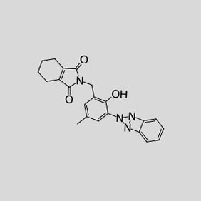 Cc1cc(CN2C(=O)C3=C(CCCC3)C2=O)c(O)c(-n2n3c4ccccc4n23)c1